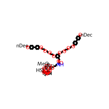 CCCCCCCCCCOc1ccc(-c2ccc(OCCOCCOCCOc3cc(COC(=O)NCC[SiH2]O[Si]45O[Si](C)(OC)O[Si]6(C)O[SiH]7O[SiH](C)O[Si](C)(O[Si](C)(O7)O[Si](C)(O6)O4)O5)cc(OCCOCCOCCOc4ccc(-c5ccc(OCCCCCCCCCC)cc5)cc4)c3)cc2)cc1